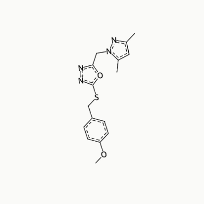 COc1ccc(CSc2nnc(Cn3nc(C)cc3C)o2)cc1